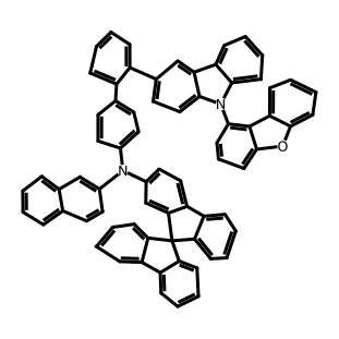 c1ccc(-c2ccc3c(c2)c2ccccc2n3-c2cccc3oc4ccccc4c23)c(-c2ccc(N(c3ccc4c(c3)C3(c5ccccc5-c5ccccc53)c3ccccc3-4)c3ccc4ccccc4c3)cc2)c1